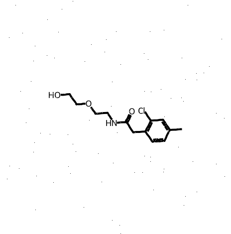 Cc1ccc(CC(=O)NCCOCCO)c(Cl)c1